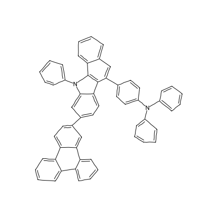 c1ccc(N(c2ccccc2)c2ccc(-c3cc4ccccc4c4c3c3ccc(-c5ccc6c7ccccc7c7ccccc7c6c5)cc3n4-c3ccccc3)cc2)cc1